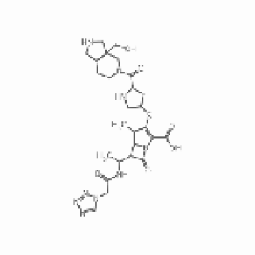 CC(NC(=O)Cn1cnnn1)C1C(=O)N2C(C(=O)O)=C(SC3CNC(C(=O)N4CCC5CNCC5(CO)C4)C3)C(C)C12